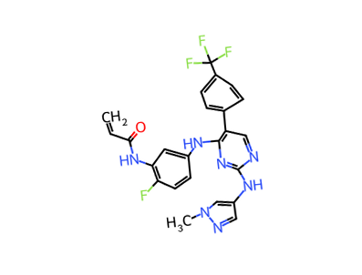 C=CC(=O)Nc1cc(Nc2nc(Nc3cnn(C)c3)ncc2-c2ccc(C(F)(F)F)cc2)ccc1F